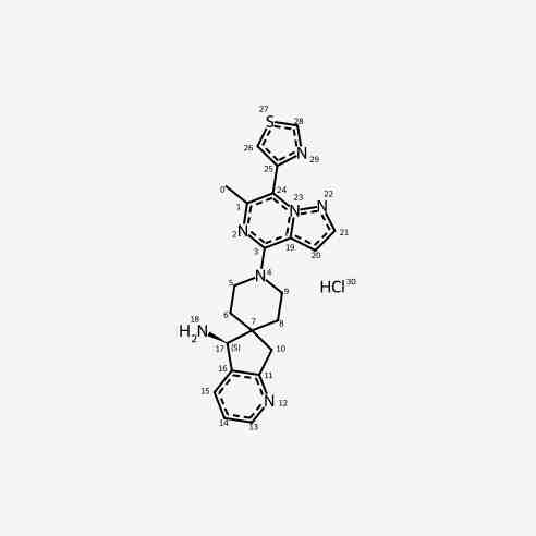 Cc1nc(N2CCC3(CC2)Cc2ncccc2[C@H]3N)c2ccnn2c1-c1cscn1.Cl